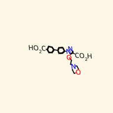 O=C(O)c1ccc(-c2ccc(-n3ncc(C(=O)O)c3OCCN3CCOCC3)cc2)cc1